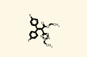 CCOC(=O)C(=C(c1ccc(F)cc1)c1ccc(F)cc1)c1nnn(CC)n1